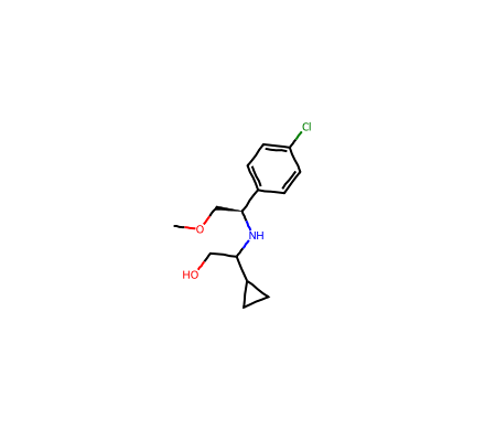 COC[C@H](NC(CO)C1CC1)c1ccc(Cl)cc1